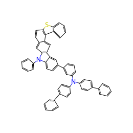 c1ccc(-c2ccc(N(c3ccc(-c4ccccc4)cc3)c3cccc(-c4ccc5c(c4)c4cc6c(ccc7sc8ccccc8c76)cc4n5-c4ccccc4)c3)cc2)cc1